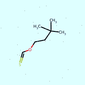 CC(C)(C)CCOC=S